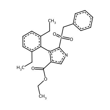 CCOC(=O)c1cnc(S(=O)(=O)Cc2ccccc2)n1-c1c(CC)cccc1CC